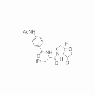 CC(=O)Nc1ccc(C(=O)N[C@@H](CC(C)C)C(=O)N2CC[C@H]3OCC(=O)[C@H]32)cc1